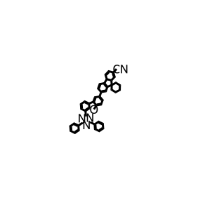 N#CC1=CC2C(C=C1)c1ccc(-c3ccc4oc5c(-c6nc(-c7ccccc7)nc(-c7ccccc7)n6)cccc5c4c3)cc1C21CCCCC1